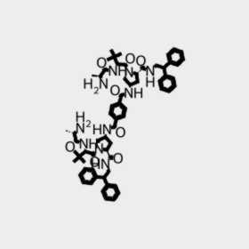 C[C@H](N)C(=O)N[C@H](C(=O)N1C[C@@H](NC(=O)c2ccc(C(=O)N[C@H]3C[C@@H](C(=O)NCC(c4ccccc4)c4ccccc4)N(C(=O)[C@@H](NC(=O)[C@H](C)N)C(C)(C)C)C3)cc2)C[C@H]1C(=O)NCC(c1ccccc1)c1ccccc1)C(C)(C)C